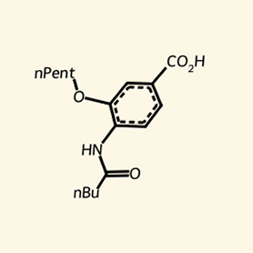 CCCCCOc1cc(C(=O)O)ccc1NC(=O)CCCC